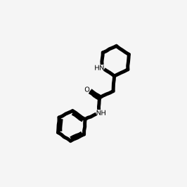 O=C(CC1CCCCN1)Nc1ccccc1